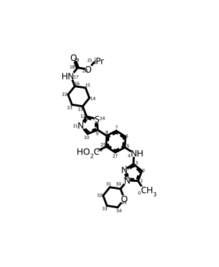 Cc1cc(Nc2ccc(-c3cnc(C4CCC(NC(=O)OC(C)C)CC4)s3)c(C(=O)O)c2)nn1C1CCCCO1